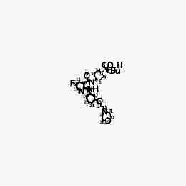 CC(C)(C)N(C(=O)O)[C@H]1CC[C@@H](NC(=O)c2cc(F)cnc2Nc2cccc(OCCN3CCOCC3)c2)CC1